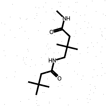 CNC(=O)CC(C)(C)CNC(=O)CC(C)(C)C